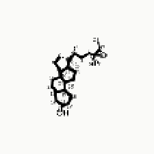 CC(C)[C@]1(CC[C@@H](C)[C@H]2CCC3C4CC=C5C[C@@H](O)CC[C@]5(C)C4CC[C@@]32C)O[C@@H]1C